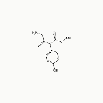 CC(C)(C)OC(=O)N(C(=O)CN)c1ccc(O)cc1